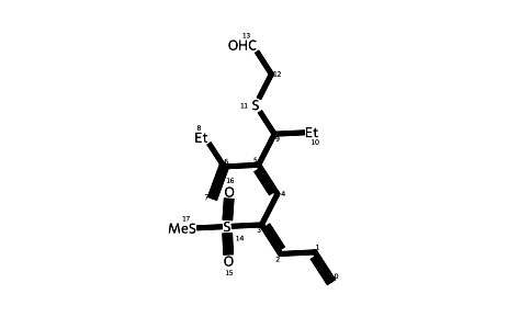 C=C/C=C(\C=C(/C(=C)CC)C(CC)SCC=O)S(=O)(=O)SC